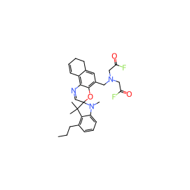 CCCc1cccc2c1C(C)(C)C1(C=Nc3c4c(cc(CN(CC(=O)F)CC(=O)F)c3O1)CCC=C4)N2C